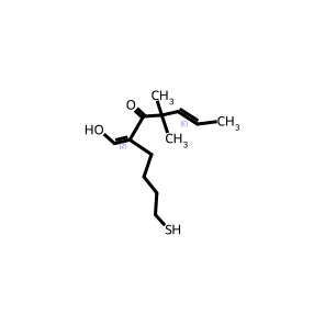 C/C=C/C(C)(C)C(=O)/C(=C\O)CCCCS